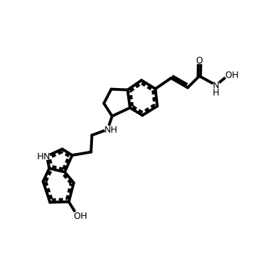 O=C(C=Cc1ccc2c(c1)CCC2NCCc1c[nH]c2ccc(O)cc12)NO